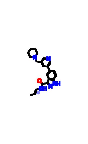 C/C=C/NC(=O)c1n[nH]c2ccc(-c3cncc(CN4CCCCC4)c3)cc12